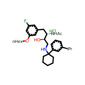 CCCCCCOc1cc(F)cc(C[C@H](NC(C)=O)[C@H](O)CNC2(c3cccc(C(C)C)c3)CCCCC2)c1.Cl